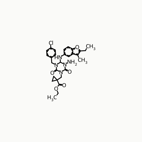 CCOC(=O)C1(CN2C(=O)N(N)C(Nc3ccc4oc(CC)c(C)c4c3)N(Cc3ccc(Cl)cc3)C2=O)CC1